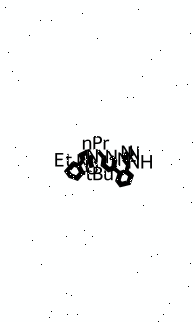 CCCc1cn(-c2c(CC)cccc2C(C)(C)C)c(=O)n1Cc1ccc(-c2ccccc2-c2nnn[nH]2)cn1